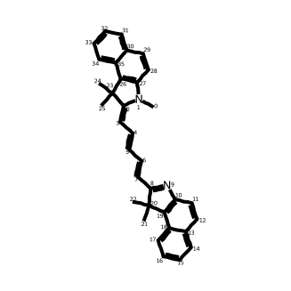 CN1C(=CC=CC=CC2=Nc3ccc4ccccc4c3C2(C)C)C(C)(C)c2c1ccc1ccccc21